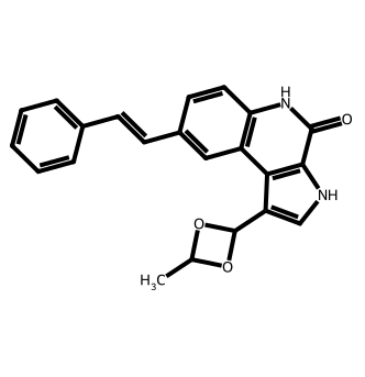 CC1OC(c2c[nH]c3c(=O)[nH]c4ccc(/C=C/c5ccccc5)cc4c23)O1